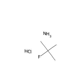 CC(C)(C)F.Cl.N